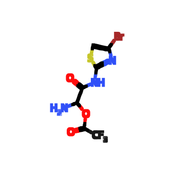 NC(OC(=O)C(F)(F)F)C(=O)Nc1nc(Br)cs1